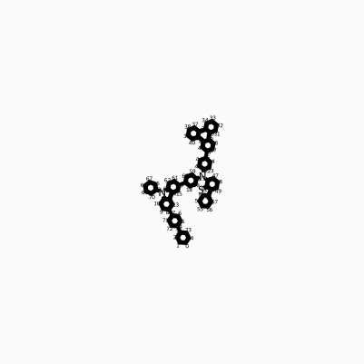 c1ccc(-c2ccc(-c3ccc4c(c3)c3cc(-c5ccc(N(c6ccc(-c7ccc8c9ccccc9c9ccccc9c8c7)cc6)c6cccc7c6sc6ccccc67)cc5)ccc3n4-c3ccccc3)cc2)cc1